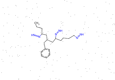 CCCC(CC(Cc1ccccc1)CC(CCCCN=N)N=N)N=N